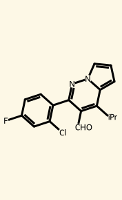 CC(C)c1c(C=O)c(-c2ccc(F)cc2Cl)nn2cccc12